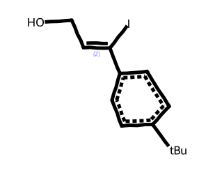 CC(C)(C)c1ccc(/C(I)=C/CO)cc1